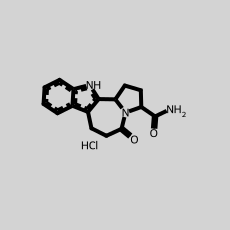 Cl.NC(=O)C1CCC2c3[nH]c4ccccc4c3CCC(=O)N12